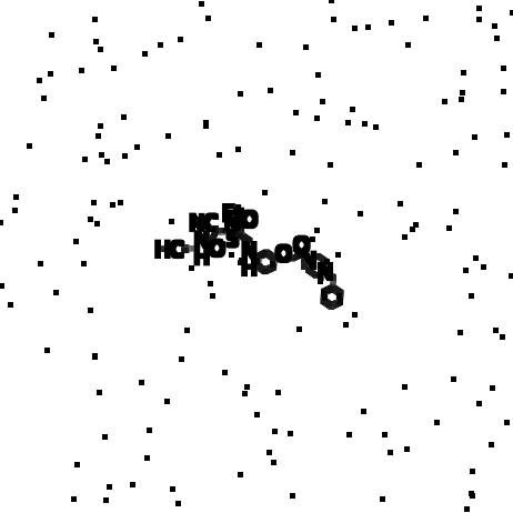 C#CCNC(=O)C(C#N)=c1sc(=CNc2cccc(OCC(=O)N3CCN(Cc4ccccc4)CC3)c2)c(=O)n1CC